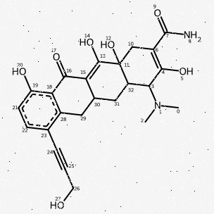 CN(C)C1C(O)=C(C(N)=O)CC2(O)C(O)=C3C(=O)c4c(O)ccc(C#CCO)c4CC3CC12